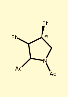 CCC1C(C(C)=O)N(C(C)=O)C[C@@H]1CC